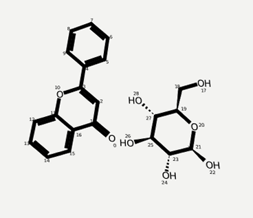 O=c1cc(-c2ccccc2)oc2ccccc12.OC[C@H]1O[C@@H](O)[C@H](O)[C@@H](O)[C@@H]1O